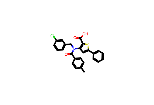 Cc1ccc(C(=O)N(Cc2cccc(Cl)c2)c2cc(-c3ccccc3)sc2C(=O)O)cc1